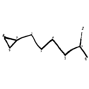 CC(I)CCCCC1CC1